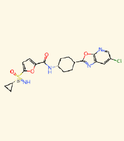 N=[S@@](=O)(c1ccc(C(=O)N[C@H]2CC[C@H](c3nc4cc(Cl)cnc4o3)CC2)o1)C1CC1